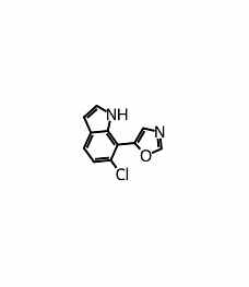 Clc1ccc2cc[nH]c2c1-c1cnco1